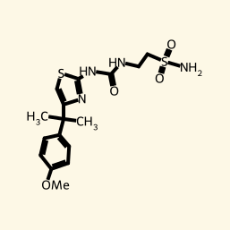 COc1ccc(C(C)(C)c2csc(NC(=O)NCCS(N)(=O)=O)n2)cc1